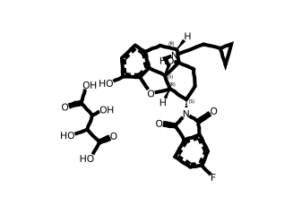 O=C(O)C(O)C(O)C(=O)O.O=C1c2ccc(F)cc2C(=O)N1[C@H]1CCC2(O)[C@H]3Cc4ccc(O)c5c4[C@@]2(CCN3CC2CC2)[C@H]1O5